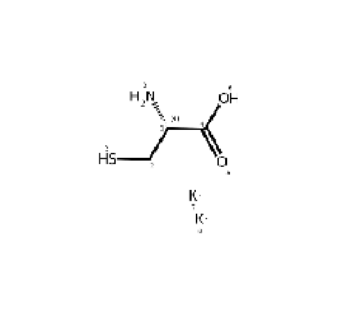 N[C@@H](CS)C(=O)O.[K].[K]